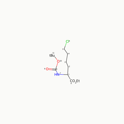 CCOC(=O)C(CCCCCl)NC(=O)OC(C)(C)C